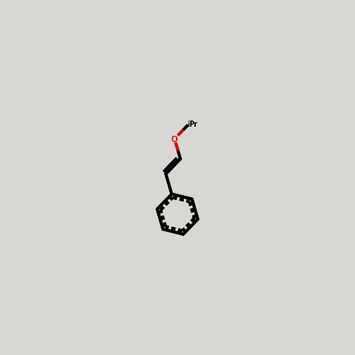 CC(C)O/C=C/c1ccccc1